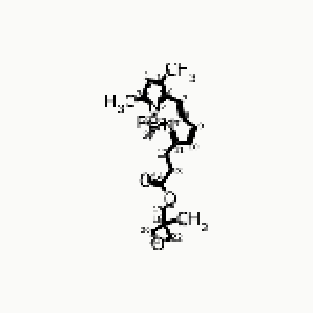 Cc1cc(C)n2c1C=C1C=CC(CCC(=O)OCC3(C)COC3)=[N+]1[B-]2(F)F